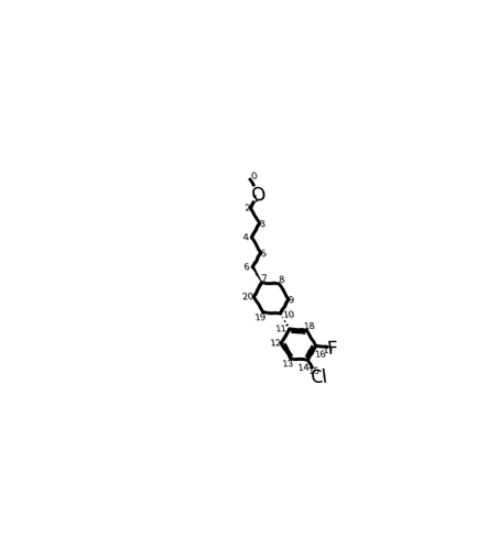 COCCCCC[C@H]1CC[C@H](c2ccc(Cl)c(F)c2)CC1